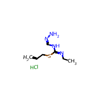 C=CCS/C(=N\CC)N/C=N\N.Cl